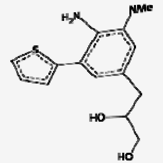 CNc1cc(CC(O)CO)cc(-c2cccs2)c1N